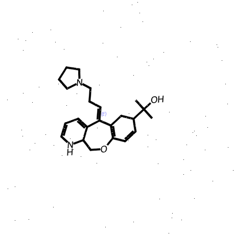 CC(C)(O)C1C=CC2=C(C1)/C(=C/CCN1CCCC1)C1=CC=CNC1CO2